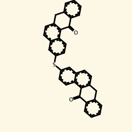 O=C1c2ccccc2Cc2ccc3cc(Sc4ccc5c6c(ccc5c4)Cc4ccccc4C6=O)ccc3c21